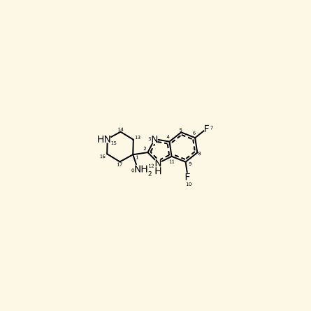 NC1(c2nc3cc(F)cc(F)c3[nH]2)CCNCC1